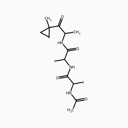 CC(=O)NC(I)C(=O)NC(I)C(=O)NC(C)C(=O)C1(C)CC1